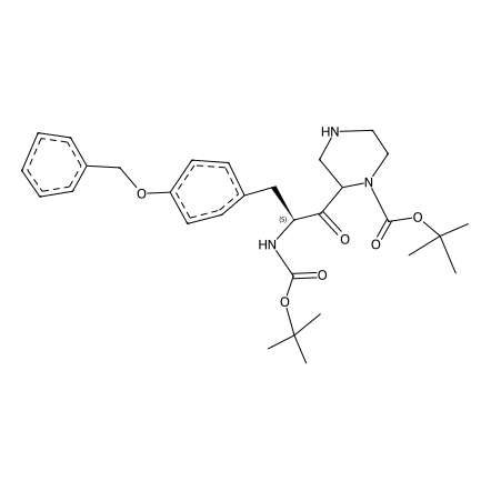 CC(C)(C)OC(=O)N[C@@H](Cc1ccc(OCc2ccccc2)cc1)C(=O)C1CNCCN1C(=O)OC(C)(C)C